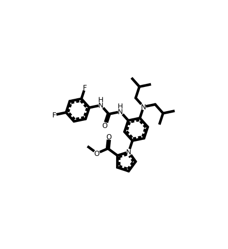 COC(=O)c1cccn1-c1ccc(N(CC(C)C)CC(C)C)c(NC(=O)Nc2ccc(F)cc2F)c1